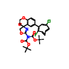 CC(C)(C)OC(=O)N(C(=O)OC(C)(C)C)C1=NC2(CO1)c1cc(C3=C(F)/C=C/C=C/C(Cl)=C\3)ccc1OCC21COC1